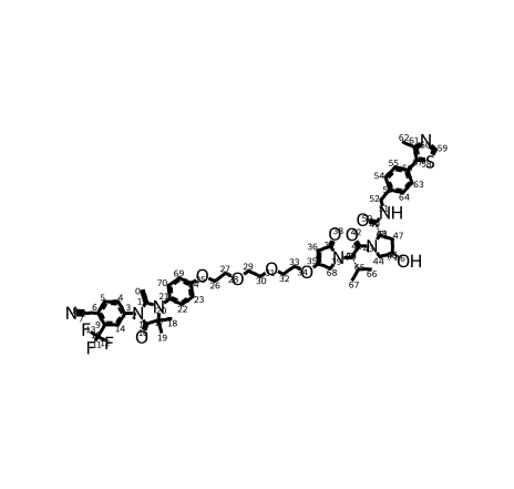 C=C1N(c2ccc(C#N)c(C(F)(F)F)c2)C(=O)C(C)(C)N1c1ccc(OCCOCCOCCOC2=CC(=O)N([C@H](C(=O)N3C[C@H](O)C[C@H]3C(=O)NCc3ccc(-c4scnc4C)cc3)C(C)C)C2)cc1